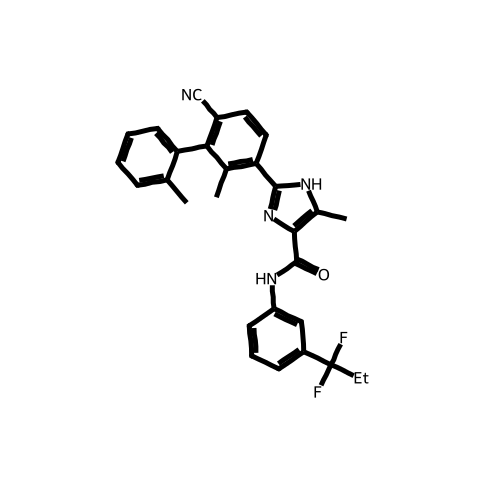 CCC(F)(F)c1cccc(NC(=O)c2nc(-c3ccc(C#N)c(-c4ccccc4C)c3C)[nH]c2C)c1